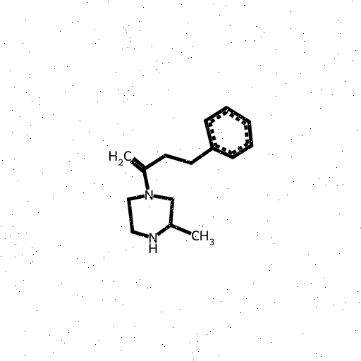 C=C(CCc1ccccc1)N1CCNC(C)C1